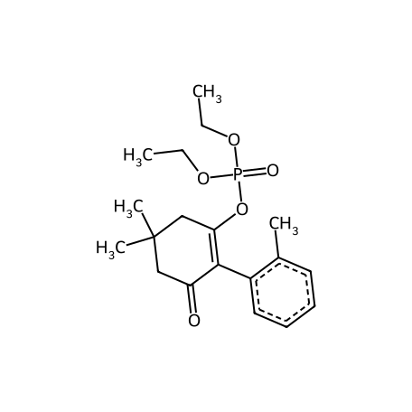 CCOP(=O)(OCC)OC1=C(c2ccccc2C)C(=O)CC(C)(C)C1